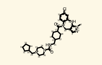 Cn1ncc2c1Nc1cc(Cl)ccc1N(C(=O)C1CCC(CNC(=O)N3CCN(CC4CCCC4)CC3)CC1)C2